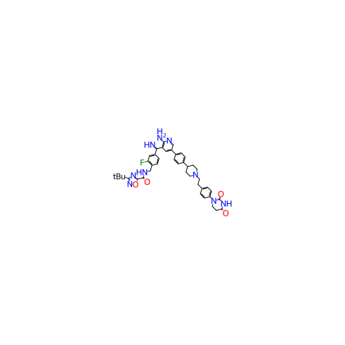 CC(C)(C)c1noc(C(=O)NCc2ccc(C(=N)c3cc(-c4ccc(C5CCN(CCc6ccc(N7CCC(=O)NC7=O)cc6)CC5)cc4)cnc3N)cc2F)n1